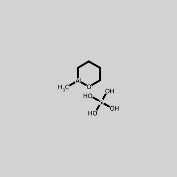 O[Si](O)(O)O.[CH3][Al]1[CH2]CCC[O]1